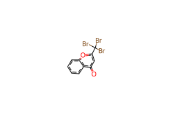 O=c1cc(C(Br)(Br)Br)oc2ccccc12